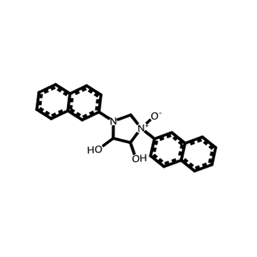 [O-][N+]1(c2ccc3ccccc3c2)CN(c2ccc3ccccc3c2)C(O)C1O